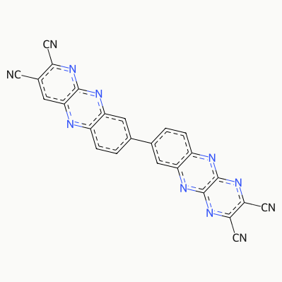 N#Cc1cc2nc3ccc(-c4ccc5nc6nc(C#N)c(C#N)nc6nc5c4)cc3nc2nc1C#N